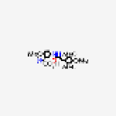 COc1cc(OC)c(C=CC(=O)Nc2ccc(OC)c(C(C(=O)O)N(C)C)c2)c(OC)c1